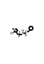 CCc1c(CC(F)(F)CNC(=O)OCc2ccccc2)ccn1C